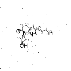 CC(C)CCOc1cnc2c(c1)CCC(=O)N2[C@H]1C[C@H](O)C1